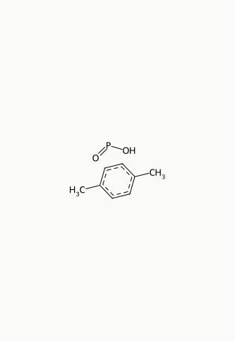 Cc1ccc(C)cc1.O=PO